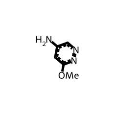 COc1cc(N)cnn1